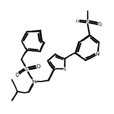 CC(C)CN(Cc1ccc(-c2cncc(S(C)(=O)=O)c2)s1)S(=O)(=O)Cc1ccccc1